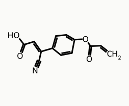 C=CC(=O)Oc1ccc(C(C#N)=CC(=O)O)cc1